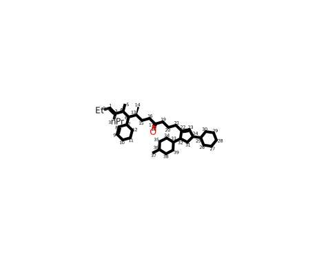 CC/C=C(\CCC)C(C)C(C1C=CCCC1)[C@@H](C)CCC(=O)CCCC1=CC(C2CCCCC2)CC1C1CCC(C)CC1